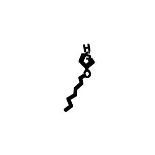 CCCCCCCOC1=C=[SH]C=C1